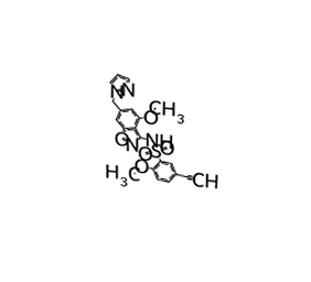 C#Cc1ccc(OC)c(S(=O)(=O)Nc2noc3cc(Cn4cccn4)cc(OC)c23)c1